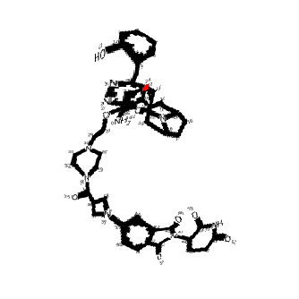 Nc1nnc(-c2ccccc2O)cc1N1CC2CCC(C1)N2c1cccc(OCCN2CCN(C(=O)C3CN(c4ccc5c(c4)C(=O)N(C4CCC(=O)NC4=O)C5=O)C3)CC2)c1